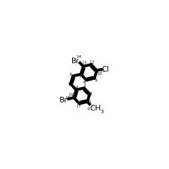 Cc1ccc(/C=C\c2ccc(Cl)cc2Br)c(Br)c1